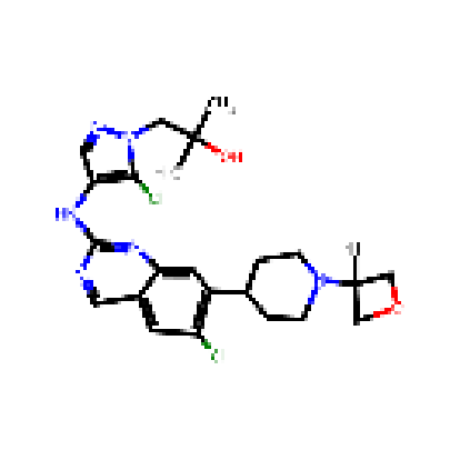 [2H]C1(N2CCC(c3cc4nc(Nc5cnn(CC(C)(C)O)c5Cl)ncc4cc3Cl)CC2)COC1